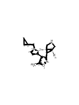 Cc1onc(C2[C@H]3CNC[C@@H]23)c1-c1ccn(CC2CC2)n1